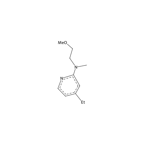 CCc1ccnc(N(C)CCOC)c1